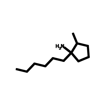 CCCCCCC1(N)CCCC1C